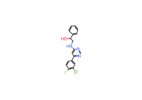 OC(CNc1cc(-c2ccc(F)c(Cl)c2)ncn1)c1ccccc1